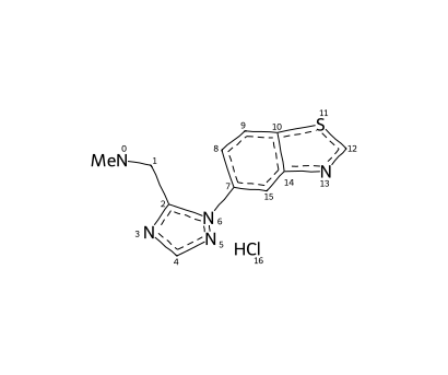 CNCc1ncnn1-c1ccc2scnc2c1.Cl